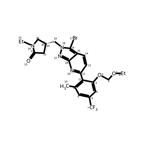 CCOCOc1cc(C(F)(F)F)cc(C)c1-c1ccc2c(Br)n(C[C@@H]3CC(=O)N(CC)C3)nc2n1